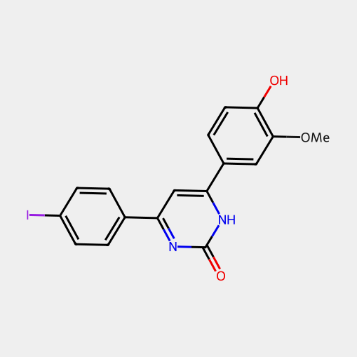 COc1cc(-c2cc(-c3ccc(I)cc3)nc(=O)[nH]2)ccc1O